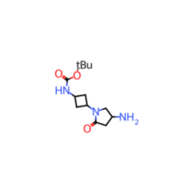 CC(C)(C)OC(=O)NC1CC(N2CC(N)CC2=O)C1